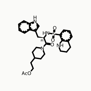 CC(=O)OCCC1CCN(C(=O)[C@@H](Cc2c[nH]c3ccccc23)NS(=O)(=O)c2cccc3c2NCCC3)CC1